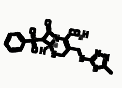 Cc1nnc(SCC2=C(C(=O)O)N3C(=O)C(S(=O)(=O)c4ccccc4)[C@@H]3SC2)s1